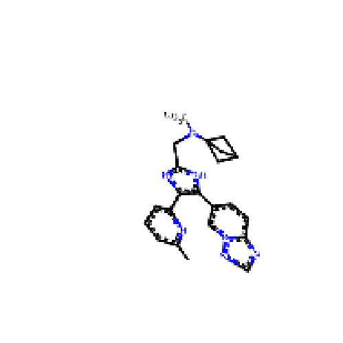 Cc1cccc(-c2nc(CN(C(=O)O)C34CC(C3)C4)[nH]c2-c2ccc3ncnn3c2)n1